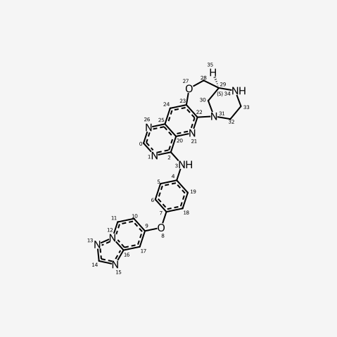 c1nc(Nc2ccc(Oc3ccn4ncnc4c3)cc2)c2nc3c(cc2n1)OC[C@@H]1CN3CCN1